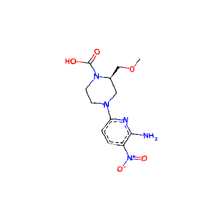 COC[C@H]1CN(c2ccc([N+](=O)[O-])c(N)n2)CCN1C(=O)O